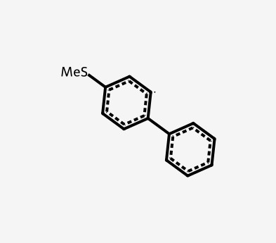 CSc1c[c]c(-c2ccccc2)cc1